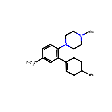 CCCCN1CCN(c2ccc(C(=O)OCC)cc2C2=CCC(C(C)(C)C)CC2)CC1